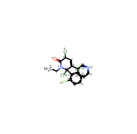 CCN1C(=O)C(Cl)C=C(c2cccnc2)C1(Cl)c1c(F)cccc1F